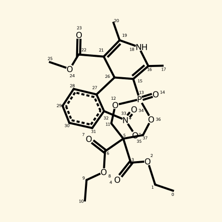 CCOC(=O)C1(C(=O)OCC)COP(=O)(C2=C(C)NC(C)=C(C(=O)OC)C2c2ccccc2[N+](=O)[O-])OC1